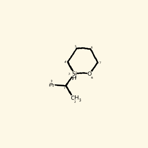 CC(C)C(C)[SiH]1CCCCO1